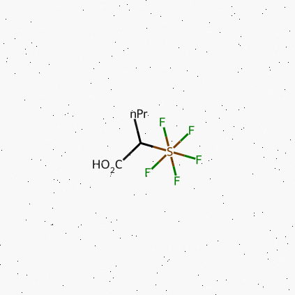 CCCC(C(=O)O)S(F)(F)(F)(F)F